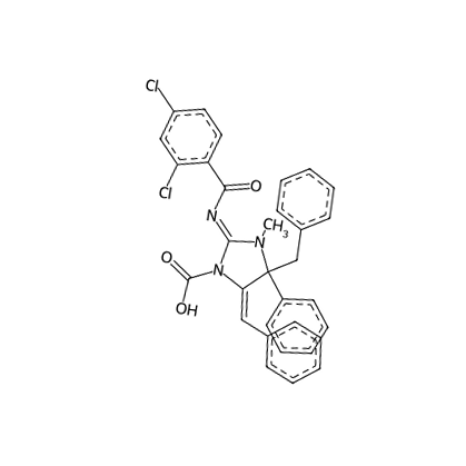 CN1C(=NC(=O)c2ccc(Cl)cc2Cl)N(C(=O)O)C(=Cc2ccccc2)C1(Cc1ccccc1)c1ccccc1